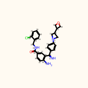 N=C(c1ccc(N2CC(C3COC3)C2)cc1)c1cc(C(=O)NCc2ccccc2Cl)ccc1N